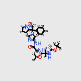 CCC[C@@H](NC(=O)C(C)(C)NC(=O)OC(C)(C)C)C(=O)Nc1cn(C(C=O)(c2ccccc2)C2CCCN2)cn1